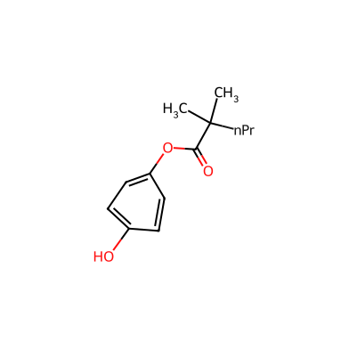 CCCC(C)(C)C(=O)Oc1ccc(O)cc1